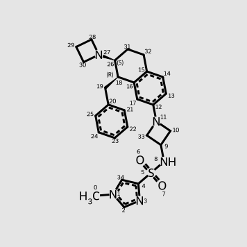 Cn1cnc(S(=O)(=O)NC2CN(c3ccc4c(c3)[C@@H](Cc3ccccc3)[C@@H](N3CCC3)CC4)C2)c1